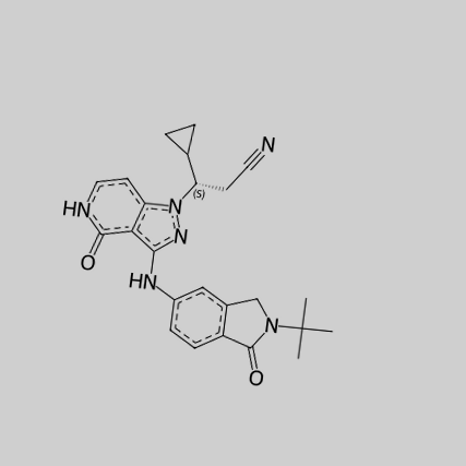 CC(C)(C)N1Cc2cc(Nc3nn([C@@H](CC#N)C4CC4)c4cc[nH]c(=O)c34)ccc2C1=O